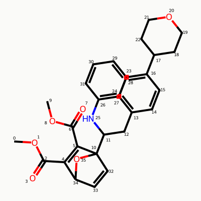 COC(=O)C1=C(C(=O)OC)C2(C(Cc3ccc(C4CCOCC4)cc3)Nc3ccccc3)C=CC1O2